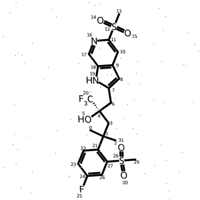 CC(C)(C[C@@](O)(Cc1cc2cc(S(C)(=O)=O)ncc2[nH]1)C(F)(F)F)c1ccc(F)cc1S(C)(=O)=O